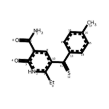 CCc1[nH]c(=O)c(C(N)=O)cc1C(=S)c1ccc(C)cc1